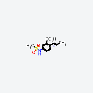 C/C=C/c1ccc(NS(C)(=O)=O)cc1C(=O)O